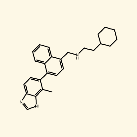 Cc1c(-c2ccc(CNCCC3CCCCC3)c3ccccc23)ccc2nc[nH]c12